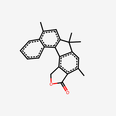 Cc1cc2c(c3c1C(=O)OC3)-c1c(cc(C)c3ccccc13)C2(C)C